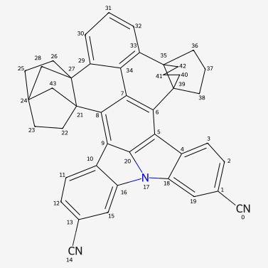 N#Cc1ccc2c3c4c5c(c6c7ccc(C#N)cc7n(c2c1)c36)C12CCC3(CCC1(C3)c1cccc(c1-5)C13CCCC41CCC3)C2